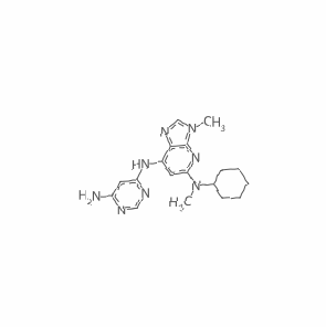 CN(c1cc(Nc2cc(N)ncn2)c2ncn(C)c2n1)C1CCCCC1